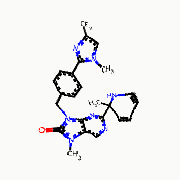 Cn1cc(C(F)(F)F)nc1-c1ccc(Cn2c(=O)n(C)c3cnc(C4(C)C=CC=CN4)nc32)cc1